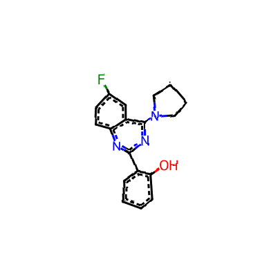 Oc1ccccc1-c1nc(N2C[CH]CC2)c2cc(F)ccc2n1